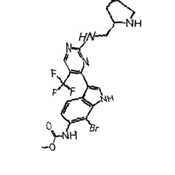 COC(=O)Nc1ccc2c(-c3nc(NC[C@H]4CCCN4)ncc3C(F)(F)F)c[nH]c2c1Br